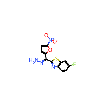 NN=C(c1ccc([N+](=O)[O-])o1)c1nc2ccc(F)cc2s1